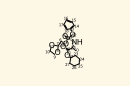 C[C@H](N[P@@](=O)(OCC1OCCO1)Oc1ccccc1)C(=O)OC1CCCCC1